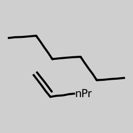 C=CCCC.CCCCCC